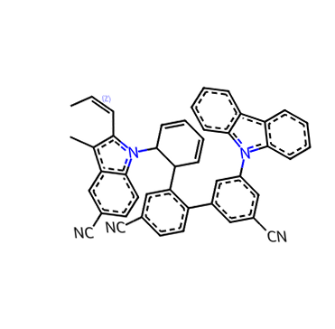 C/C=C\c1c(C)c2cc(C#N)ccc2n1C1C=CC=CC1c1cc(C#N)ccc1-c1cc(C#N)cc(-n2c3ccccc3c3ccccc32)c1